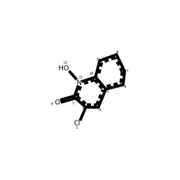 O=c1c(Cl)cc2ccccc2n1O